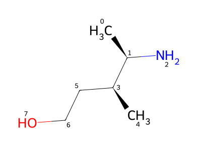 C[C@@H](N)[C@@H](C)CCO